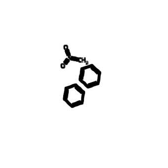 C=S(=O)=O.c1ccccc1.c1ccccc1